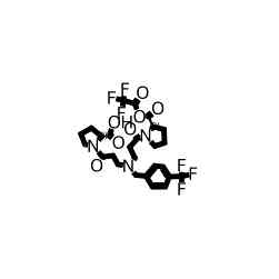 O=C(O)[C@H]1CCCN1C(=O)CCN(CCC(=O)N1CCC[C@@H]1C(=O)OC(=O)C(F)(F)F)Cc1ccc(C(F)(F)F)cc1